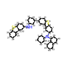 c1ccc(N(c2ccc3sc4ccc(-c5cccc(Nc6ccc7sc8ccccc8c7c6)c5)cc4c3c2)c2cccc3ccccc23)cc1